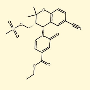 CCOC(=O)c1ccn([C@@H]2c3cc(C#N)ccc3OC(C)(C)[C@H]2COS(C)(=O)=O)c(=O)c1